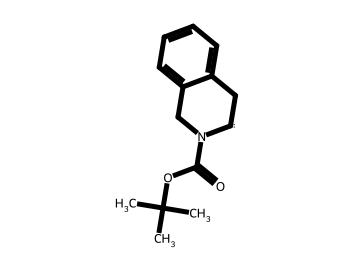 CC(C)(C)OC(=O)N1[C]Cc2ccccc2C1